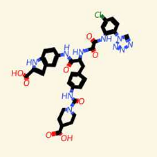 O=C(Nc1cc(Cl)ccc1-n1cnnn1)C(=O)NC(Cc1ccc(NC(=O)N2CCC(C(=O)O)CC2)cc1)C(=O)Nc1ccc2[nH]c(C(=O)O)cc2c1